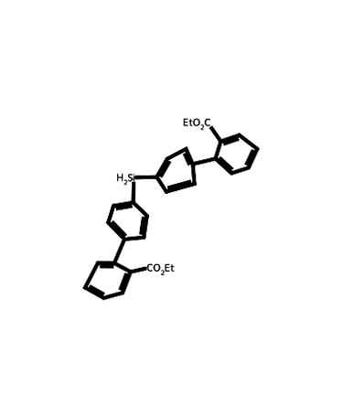 CCOC(=O)c1ccccc1-c1ccc([SiH2]c2ccc(-c3ccccc3C(=O)OCC)cc2)cc1